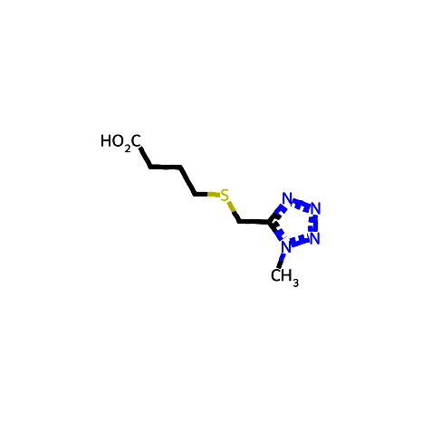 Cn1nnnc1CSCCCC(=O)O